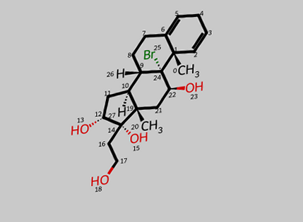 C[C@]12C=CCC=C1CC[C@H]1[C@@H]3C[C@@H](O)[C@](O)(CCO)[C@@]3(C)C[C@H](O)[C@@]12Br